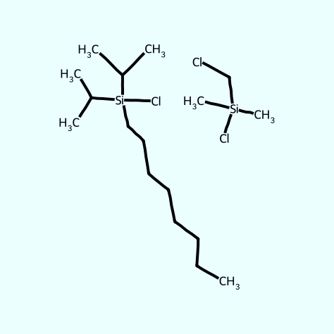 CCCCCCCC[Si](Cl)(C(C)C)C(C)C.C[Si](C)(Cl)CCl